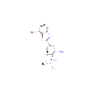 Cc1cccc2nc(-c3ccc(NC(C)C)c(N)c3)oc12